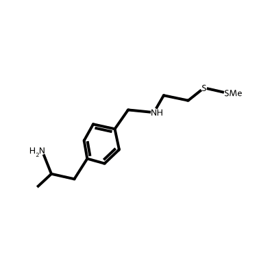 CSSCCNCc1ccc(CC(C)N)cc1